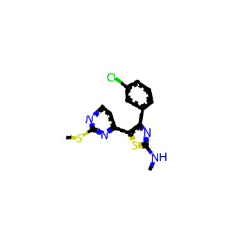 CNc1nc(-c2cccc(Cl)c2)c(-c2ccnc(SC)n2)s1